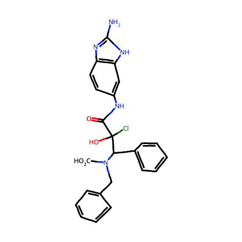 Nc1nc2ccc(NC(=O)C(O)(Cl)C(c3ccccc3)N(Cc3ccccc3)C(=O)O)cc2[nH]1